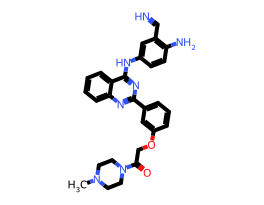 CN1CCN(C(=O)COc2cccc(-c3nc(Nc4ccc(N)c(C=N)c4)c4ccccc4n3)c2)CC1